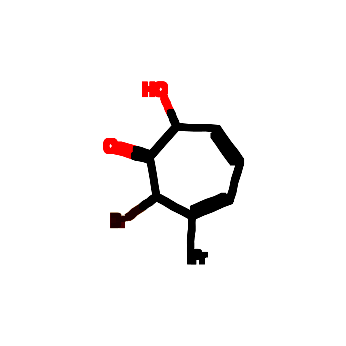 CC(C)C1=CC=CC(O)C(=O)C1Br